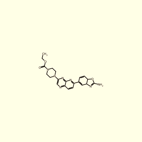 CCOC(=O)N1CCN(c2cnc3ccc(C4=CC5N=C(N)OC5C=C4)nc3n2)CC1